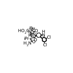 CC[C@H](C)[C@H](NC(=O)O)C(=O)N[C@]1(C(=O)N[C@H](C(N)=O)C(C)C)CCc2[nH]c3c(Cl)cc(Cl)cc3c2C1